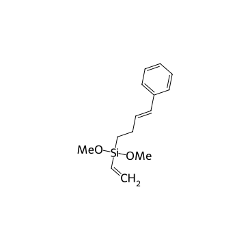 C=C[Si](CC/C=C/c1ccccc1)(OC)OC